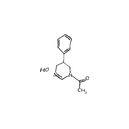 CC(=O)N1C=NCC(c2ccccc2)C1.Cl